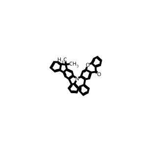 CC1(C)c2ccccc2-c2cc3c4ccccc4n(-c4cc5oc6ccccc6c(=O)c5cc4-c4ccccc4)c3cc21